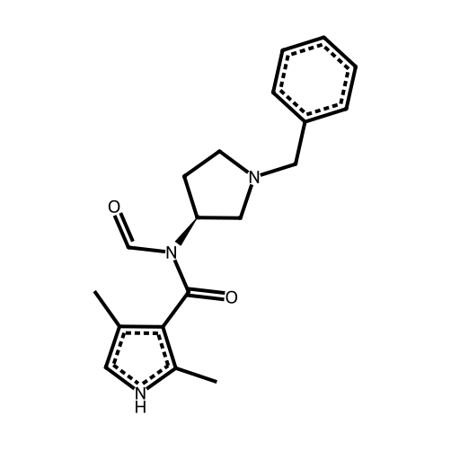 Cc1c[nH]c(C)c1C(=O)N(C=O)[C@H]1CCN(Cc2ccccc2)C1